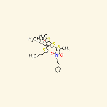 CCCCc1ccc([Si]2(CC(CC)CCCC)c3cc(C)sc3-c3sc(-c4sc(C)c5c4C(=O)N(CCCCc4ccccc4)C5=O)cc32)s1